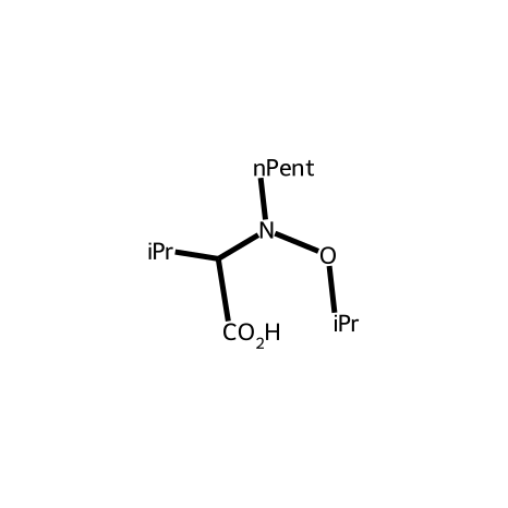 CCCCCN(OC(C)C)C(C(=O)O)C(C)C